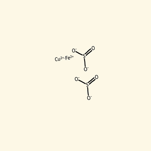 O=S([O-])[O-].O=S([O-])[O-].[Cu+2].[Fe+2]